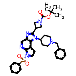 CC(C)(C)OC(=O)N1CC(c2nc3cnc4c(ccn4S(=O)(=O)c4ccccc4)c3n2C2CCN(Cc3ccccc3)CC2)C1